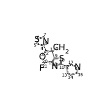 C=C(C(=O)c1cscn1)c1sc(-c2cccnc2)nc1CF